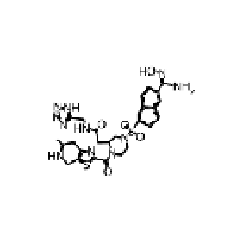 CC1Cc2nc(C(=O)N3CCN(S(=O)(=O)c4ccc5cc(/C(N)=N\O)ccc5c4)CC3CC(=O)NCc3nnn[nH]3)sc2CN1